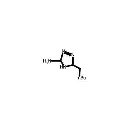 CCCCCC1N=NC(N)N1